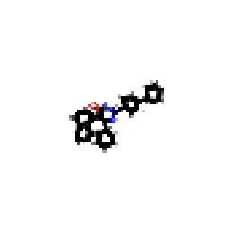 c1ccc(-c2ccc(-c3nc(-c4ccccc4)c4c(n3)oc3ccc5ccccc5c34)cc2)cc1